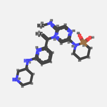 C=C(c1cccc(NC2CCCNC2)n1)n1cc(N2CCCCS2(=O)=O)nc/c1=N/C